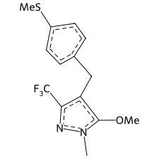 COc1c(Cc2ccc(SC)cc2)c(C(F)(F)F)nn1C